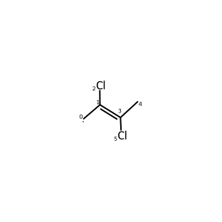 [CH2]C(Cl)=C(C)Cl